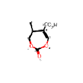 CC1COC(=O)OC=C1C(=O)O